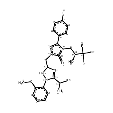 CSc1ccccc1N1NC(Cn2nc(-c3ccc(Cl)cc3)n(C[C@H](O)C(F)(F)F)c2=O)N=C1C(C)F